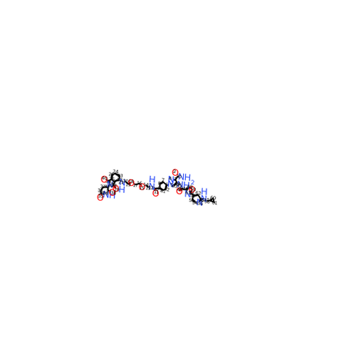 NC(=O)c1nn(-c2ccc(C(=O)NCCOCCOCCNc3cccc4c3C(=O)N(C3CCC(=O)NC3=O)C4=O)cc2)cc1NC(=O)c1coc(-c2ccnc(NCC3CC3)c2)n1